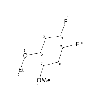 CCOCCCF.COCCCF